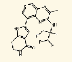 Cc1nc2cccc(-c3cc4c([nH]3)CCNC4=O)c2nc1NC(C)(CF)C(F)F